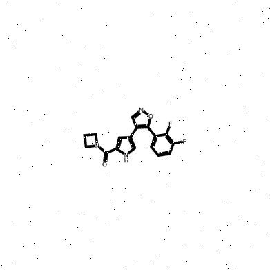 O=C(c1cc(-c2cnoc2-c2cccc(F)c2F)c[nH]1)N1CCC1